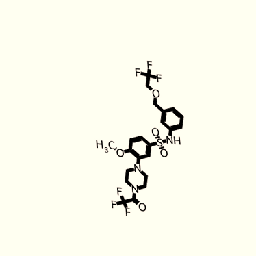 COc1ccc(S(=O)(=O)Nc2cccc(COCC(F)(F)F)c2)cc1N1CCN(C(=O)C(F)(F)F)CC1